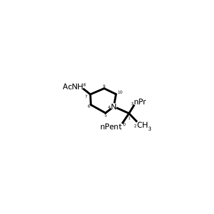 CCCCCC(C)(CCC)N1CCC(NC(C)=O)CC1